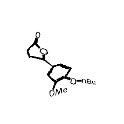 CCCCOC1=C(OC)C[C@@H](C2CCC(=O)O2)C=C1